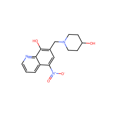 O=[N+]([O-])c1cc(CN2CCC(O)CC2)c(O)c2ncccc12